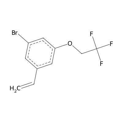 C=Cc1cc(Br)cc(OCC(F)(F)F)c1